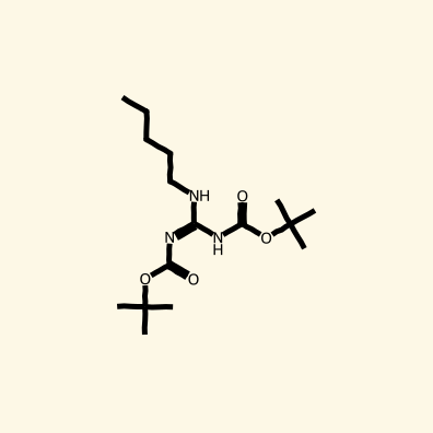 CCCCCNC(=NC(=O)OC(C)(C)C)NC(=O)OC(C)(C)C